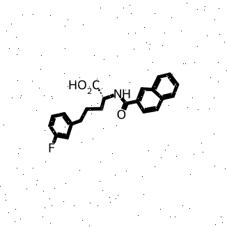 O=C(N[C@H](CCCc1cccc(F)c1)C(=O)O)c1ccc2ccccc2c1